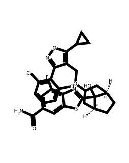 NC(=O)c1cc(F)c2nc(C3(O)[C@@H]4CC[C@H]3CC(OCc3c(-c5c(Cl)cccc5Cl)noc3C3CC3)C4)sc2c1